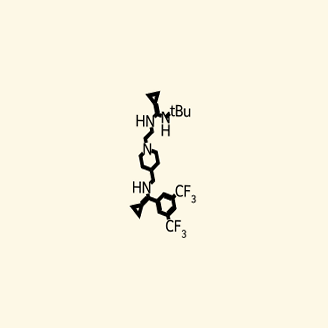 CC(C)(C)NC(NCCN1CCC(CNC(=C2CC2)c2cc(C(F)(F)F)cc(C(F)(F)F)c2)CC1)=C1CC1